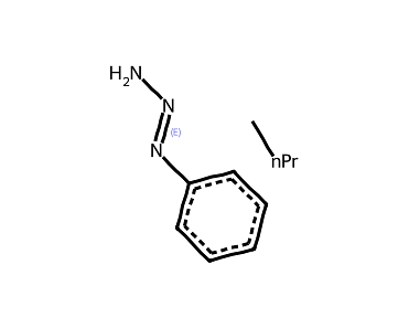 CCCC.N/N=N/c1ccccc1